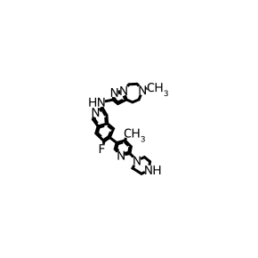 Cc1cc(N2CCNCC2)ncc1-c1cc2cc(Nc3cc4n(n3)CCN(C)CC4)ncc2cc1F